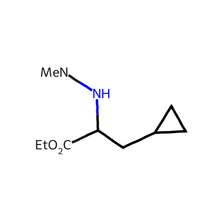 CCOC(=O)C(CC1CC1)NNC